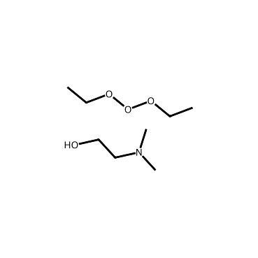 CCOOOCC.CN(C)CCO